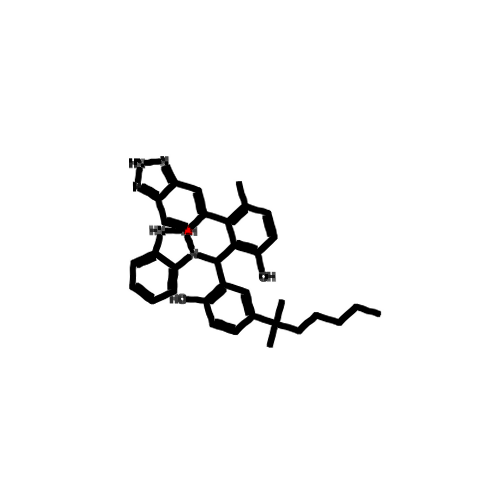 CCCCCC(C)(C)c1ccc(O)c(C(c2c(O)ccc(C)c2-c2ccc3n[nH]nc3c2)N2NNc3ccccc32)c1